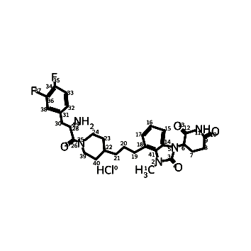 Cl.Cn1c(=O)n(C2CCC(=O)NC2=O)c2cccc(CCCC3CCN(C(=O)[C@@H](N)Cc4ccc(F)c(F)c4)CC3)c21